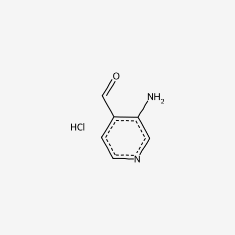 Cl.Nc1cnccc1C=O